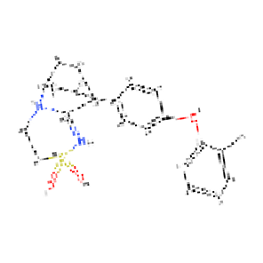 Cc1ccccc1Oc1ccc(C23CCC(CC2)N2CCS(=O)(=O)N=C23)cc1